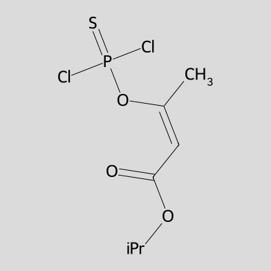 C/C(=C/C(=O)OC(C)C)OP(=S)(Cl)Cl